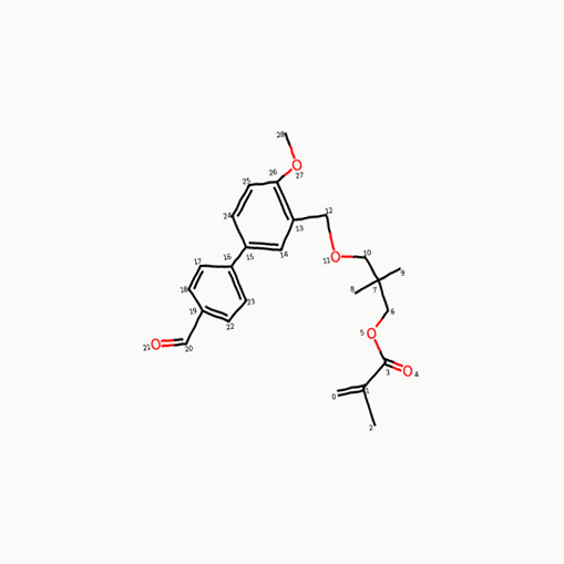 C=C(C)C(=O)OCC(C)(C)COCc1cc(-c2ccc(C=O)cc2)ccc1OC